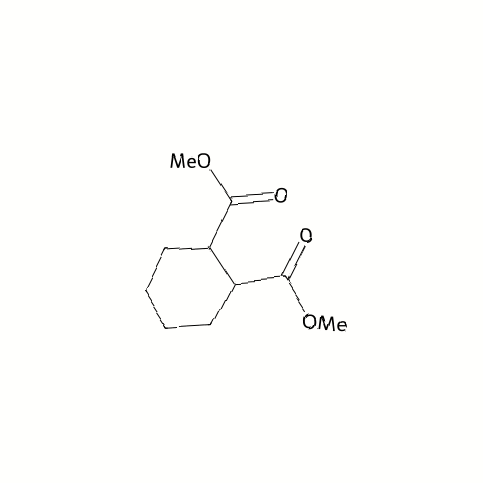 COC(=O)C1CCCCC1C(=O)OC